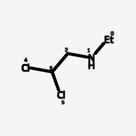 CCNC[C](Cl)Cl